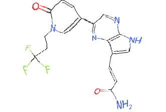 NC(=O)/C=C/c1c[nH]c2ncc(-c3ccc(=O)n(CCC(F)(F)F)c3)nc12